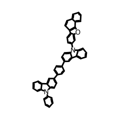 c1ccc(-n2c3ccccc3c3cc(-c4ccc(-c5ccc6c(c5)c5ccccc5n6-c5ccc6c(c5)oc5c7ccccc7ccc65)cc4)ccc32)cc1